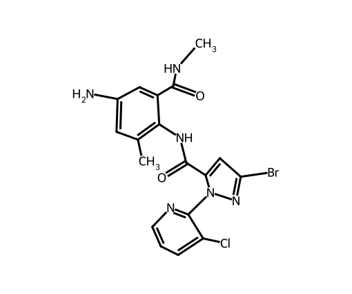 CNC(=O)c1cc(N)cc(C)c1NC(=O)c1cc(Br)nn1-c1ncccc1Cl